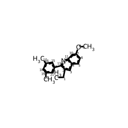 CCc1cc2ccc(OC)cc2nc1-c1cc(C)cc(C)c1